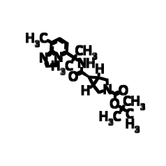 Cc1ccc(C(C)(C)NC(=O)[C@H]2[C@@H]3CN(C(=O)OC(C)(C)C)C[C@@H]32)n2ccnc12